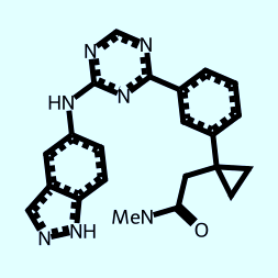 CNC(=O)CC1(c2cccc(-c3ncnc(Nc4ccc5[nH]ncc5c4)n3)c2)CC1